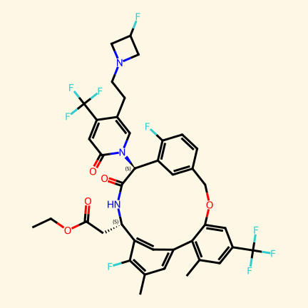 CCOC(=O)C[C@@H]1NC(=O)[C@@H](n2cc(CCN3CC(F)C3)c(C(F)(F)F)cc2=O)c2cc(ccc2F)COc2cc(C(F)(F)F)cc(C)c2-c2cc(C)c(F)c1c2